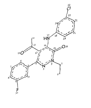 CCn1nc(-c2cccc(F)c2)c(C(C)=O)c(Nc2cccc(Cl)c2)c1=O